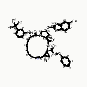 O=C1N[C@]2(C(=O)NOc3ccccc3)C[C@H]2/C=C\CCCCC[C@H](Nc2cccc(C(F)(F)F)c2)C(=O)N2C[C@H](Oc3nc4ccc(F)cc4s3)C[C@@H]12